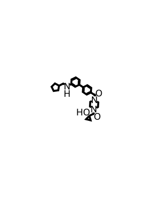 O=C(c1ccc(-c2cccc(NCC3CCCC3)c2)cc1)N1CCN(C(=O)C2(O)CC2)CC1